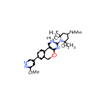 CNC1CC(C)(C)N(c2ncc3c(n2)OCc2cc(-c4cnnc(OC)c4)ccc2-3)C(C)(C)C1